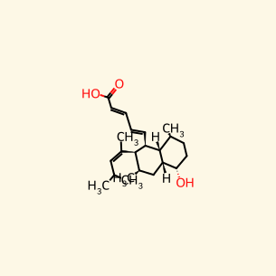 C/C(=C/C(C)C)[C@H]1[C@@H](/C=C/C=C/C(=O)O)[C@H]2[C@@H](C[C@H]1C)[C@@H](O)CC[C@@H]2C